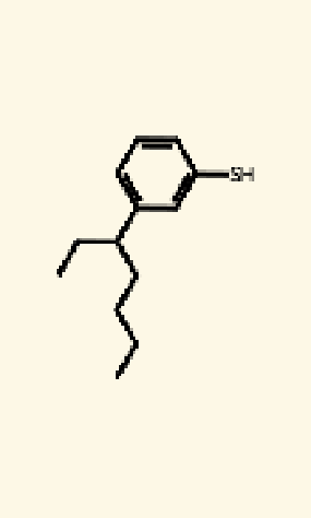 CCCCC(CC)c1cccc(S)c1